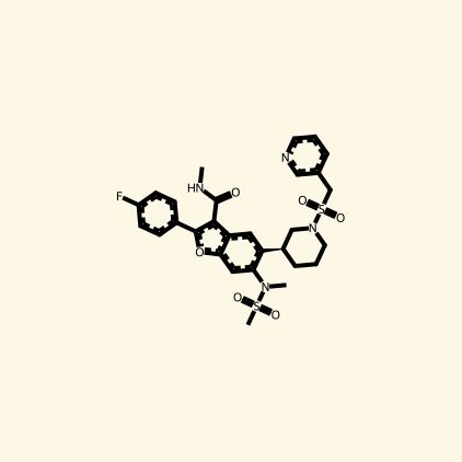 CNC(=O)c1c(-c2ccc(F)cc2)oc2cc(N(C)S(C)(=O)=O)c([C@@H]3CCCN(S(=O)(=O)Cc4cccnc4)C3)cc12